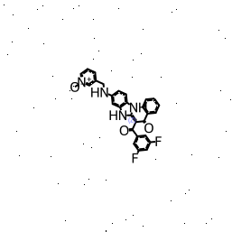 O=C(/C(C(=O)c1cc(F)cc(F)c1)=C1\Nc2ccc(NCc3ccc[n+]([O-])c3)cc2N1)c1ccccc1